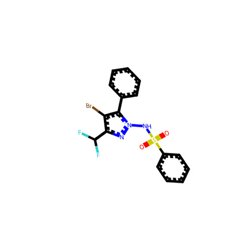 O=S(=O)(Nn1nc(C(F)F)c(Br)c1-c1ccccc1)c1ccccc1